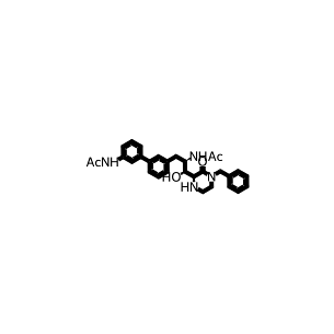 CC(=O)Nc1cccc(-c2cccc(C[C@H](NC(C)=O)[C@H](O)[C@@H]3NCCN(Cc4ccccc4)C3=O)c2)c1